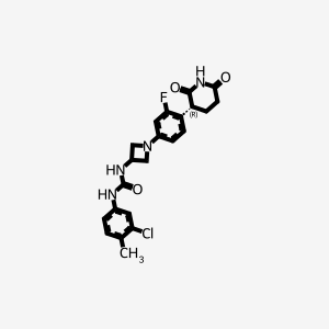 Cc1ccc(NC(=O)NC2CN(c3ccc([C@H]4CCC(=O)NC4=O)c(F)c3)C2)cc1Cl